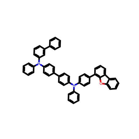 c1ccc(-c2cccc(N(c3ccccc3)c3ccc(-c4ccc(N(c5ccccc5)c5ccc(-c6cccc7c6oc6ccccc67)cc5)cc4)cc3)c2)cc1